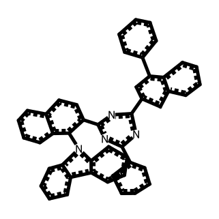 c1ccc(-c2nc(-c3cc(-c4ccccc4)c4ccccc4c3)nc(-c3ccc4ccccc4c3-n3c4ccccc4c4ccccc43)n2)cc1